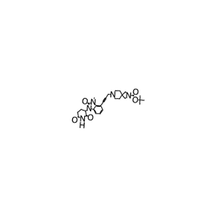 Cn1c(=O)n(C2CCC(=O)NC2=O)c2cccc(C#CCN3CCC4(CC3)CN(C(=O)OC(C)(C)C)C4)c21